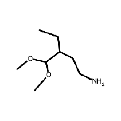 CCC(CCN)C(OC)OC